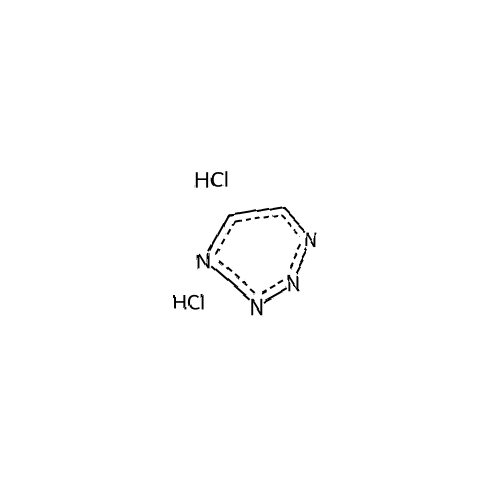 Cl.Cl.c1cnnnn1